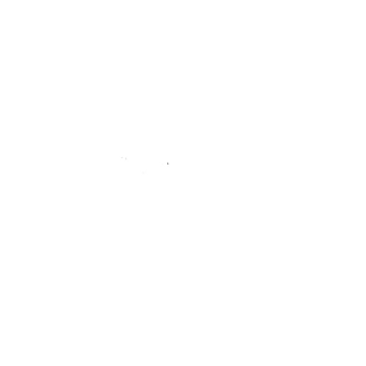 CC(C)(C)c1cn(CC2CCCO2)c(=N)s1